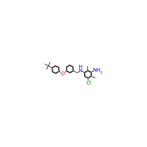 Cc1c(Cl)cc(NCc2cccc(Oc3ccc(C(C)(C)C)cc3)c2)c(C)c1N